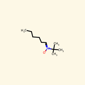 CCCCCC=[N+]([O-])C(C)(C)C